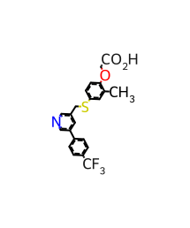 Cc1cc(SCc2cncc(-c3ccc(C(F)(F)F)cc3)c2)ccc1OCC(=O)O